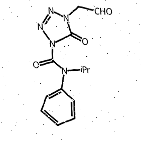 CC(C)N(C(=O)n1nnn(CC=O)c1=O)c1ccccc1